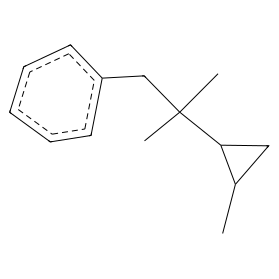 CC1CC1C(C)(C)Cc1ccccc1